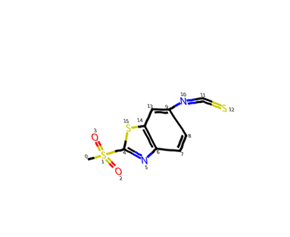 CS(=O)(=O)c1nc2ccc(N=C=S)cc2s1